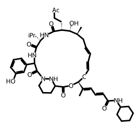 CC(=O)CC[C@H]1C(=O)N[C@@H](C(C)C)C(=O)NC(c2cccc(O)c2)C(=O)N2CCCC(N2)C(=O)O[C@H](/C(C)=C/C=C/C(=O)NC2CCCCC2)C/C=C/C=C/C[C@H](C)[C@H]1O